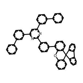 c1ccc(-c2cccc(-c3cc(-c4cccc(-c5ccccc5)c4)nc(-c4cccc(-c5cccc6c5Oc5ccccc5C65c6ccccc6-c6ccccc65)c4)n3)c2)cc1